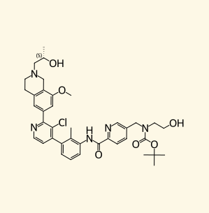 COc1cc(-c2nccc(-c3cccc(NC(=O)c4ccc(CN(CCO)C(=O)OC(C)(C)C)cn4)c3C)c2Cl)cc2c1CN(C[C@H](C)O)CC2